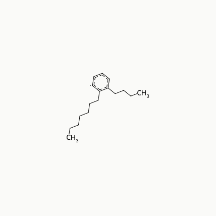 CCCCCCCc1[c]cccc1CCCC